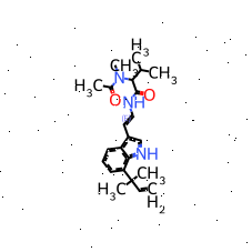 C=CC(C)(C)c1cccc2c(/C=C/NC(=O)C(C(C)C)N(C)C(C)=O)c[nH]c12